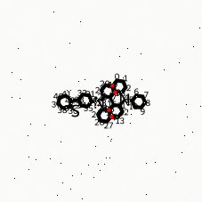 c1ccc(N(c2ccccc2)c2ccccc2-c2ccccc2N(c2ccccc2)c2ccc3c(c2)sc2ccccc23)cc1